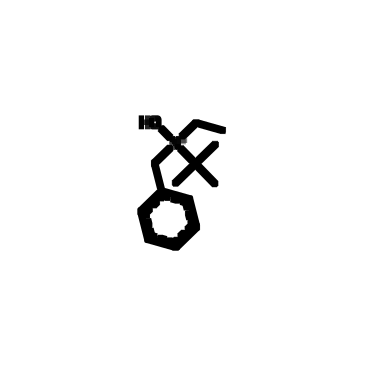 CC[N+](O)(Cc1ccccc1)C(C)(C)C